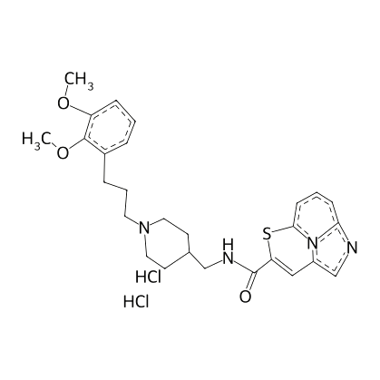 COc1cccc(CCCN2CCC(CNC(=O)C3=Cc4cnc5cccc(n45)S3)CC2)c1OC.Cl.Cl